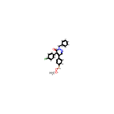 COOSc1ccc(-c2cnn(Cc3ccccc3)c(=O)c2-c2ccc(F)cc2)cc1